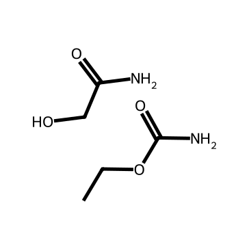 CCOC(N)=O.NC(=O)CO